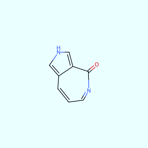 O=c1ncccc2c[nH]cc12